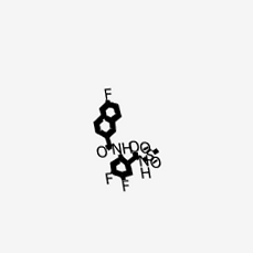 CS(=O)(=O)NC(=O)c1cc(F)c(F)cc1NC(=O)c1ccc2cc(F)ccc2c1